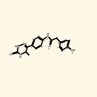 CC1NC(=O)NN=C1c1ccc(NC(=O)Cc2ccc(O)cc2)cc1